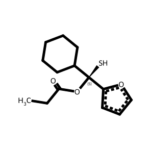 CCC(=O)O[C@@](S)(c1ccco1)C1CCCCC1